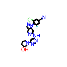 N#Cc1cc(F)c(-n2ncc3cnc(Nc4cc(N5CCC[C@@H](O)C5)ncn4)cc32)c(Cl)c1